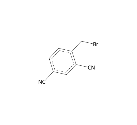 N#Cc1ccc(CBr)c(C#N)c1